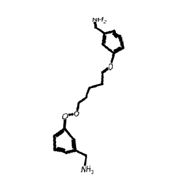 NCc1cccc(OCCCCCOOc2cccc(CN)c2)c1